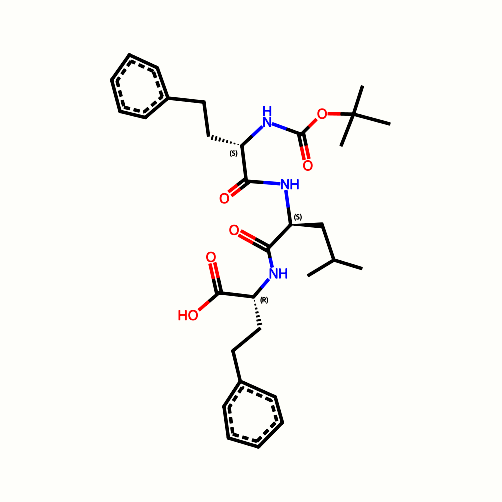 CC(C)C[C@H](NC(=O)[C@H](CCc1ccccc1)NC(=O)OC(C)(C)C)C(=O)N[C@H](CCc1ccccc1)C(=O)O